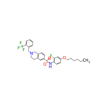 CCCCCCOc1ccc(NS(=O)(=O)c2ccc3c(c2)CCN(Cc2ccccc2C(F)(F)F)C3)c(F)c1